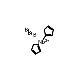 C1=CC[C]([Nb+3][C]2=CC=CC2)=C1.[Br-].[Br-].[Br-]